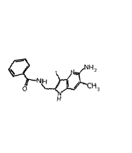 Cc1cc2[nH]c(CNC(=O)c3ccccc3)c(I)c2nc1N